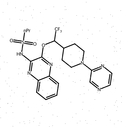 CCCS(=O)(=O)Nc1nc2ccccc2nc1OC(C1CCN(c2cnccn2)CC1)C(F)(F)F